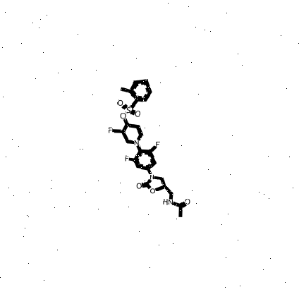 CC(=O)NCC1CN(c2cc(F)c(N3CCC(OS(=O)(=O)c4ccccc4C)C(F)C3)c(F)c2)C(=O)O1